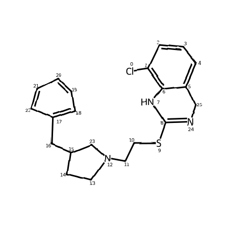 Clc1cccc2c1NC(SCCN1CCC(Cc3ccccc3)C1)=NC2